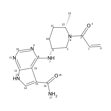 C=CC(=O)N1C[C@H](Nc2ncnc3[nH]cc(C(N)=O)c23)CC[C@@H]1C